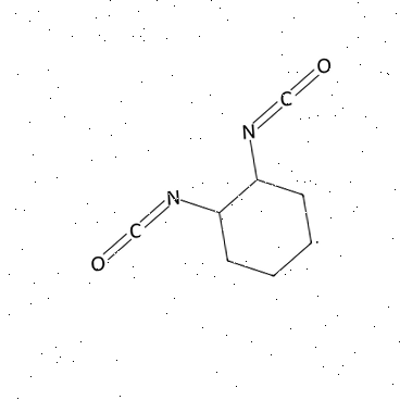 O=C=NC1C[CH]CCC1N=C=O